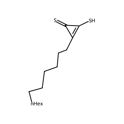 CCCCCCCCCCCCc1c(S)c1=S